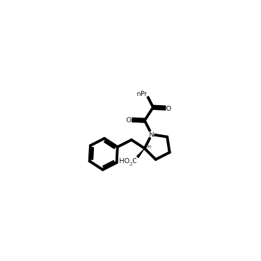 CCCC(=O)C(=O)N1CCC[C@@]1(Cc1ccccc1)C(=O)O